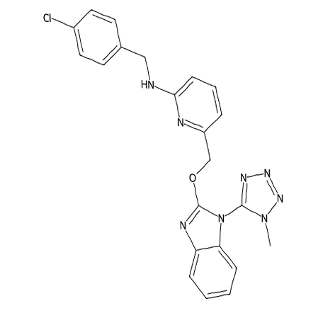 Cn1nnnc1-n1c(OCc2cccc(NCc3ccc(Cl)cc3)n2)nc2ccccc21